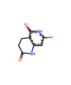 O=C1CCc2c(cc(I)[nH]c2=O)N1